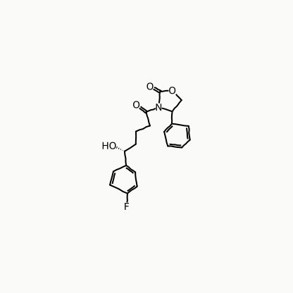 O=C(CCC[C@@H](O)c1ccc(F)cc1)N1C(=O)OCC1c1ccccc1